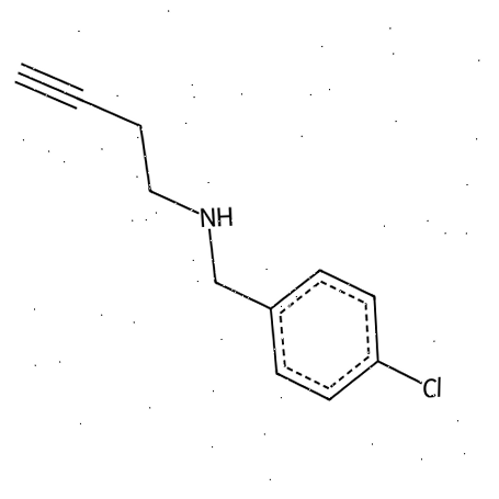 C#CCCNCc1ccc(Cl)cc1